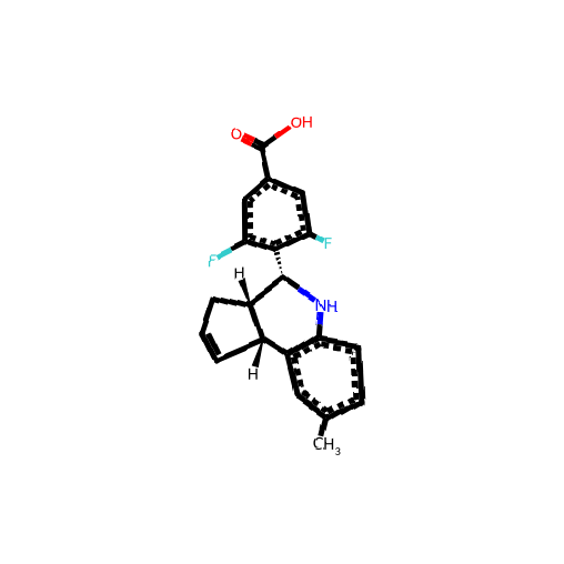 Cc1ccc2c(c1)[C@@H]1C=CC[C@@H]1[C@H](c1c(F)cc(C(=O)O)cc1F)N2